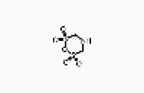 O=S1(=O)CNCS(=O)(=O)O1